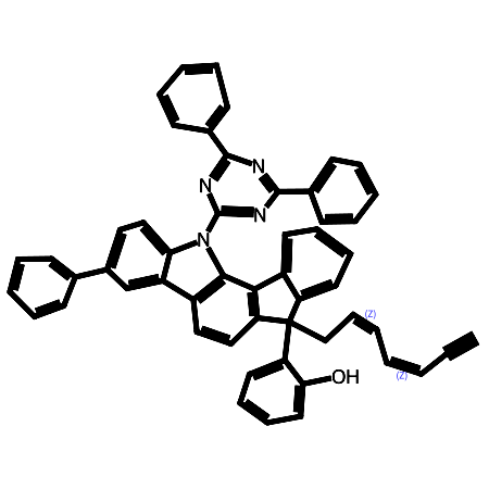 C#C/C=C\C=C/CC1(c2ccccc2O)c2ccccc2-c2c1ccc1c3cc(-c4ccccc4)ccc3n(-c3nc(-c4ccccc4)nc(-c4ccccc4)n3)c21